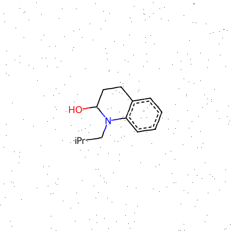 C[C](C)CN1c2ccccc2CCC1O